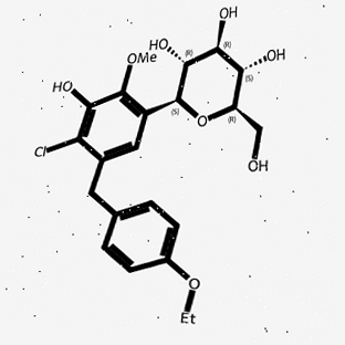 CCOc1ccc(Cc2cc([C@@H]3O[C@H](CO)[C@@H](O)[C@H](O)[C@H]3O)c(OC)c(O)c2Cl)cc1